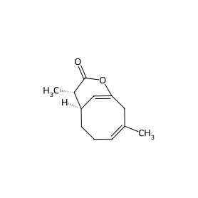 CC1=CCC[C@@H]2C=C(C1)OC(=O)[C@H]2C